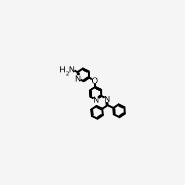 Nc1ccc(Oc2ccnc(N=C(c3ccccc3)c3ccccc3)c2)cn1